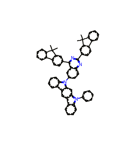 CC1(C)c2ccccc2-c2ccc(-c3nc(-c4ccc5c(c4)C(C)(C)c4ccccc4-5)c4cc(-n5c6ccccc6c6cc7c8ccccc8n(-c8ccccc8)c7cc65)ccc4n3)cc21